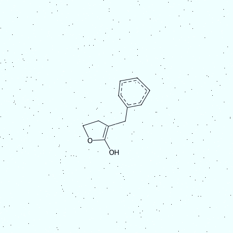 OC1=C(Cc2ccccc2)CCO1